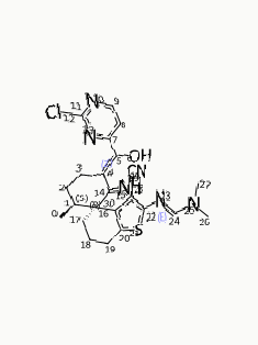 C[C@H]1CC/C(=C(/O)c2ccnc(Cl)n2)C(=N)[C@]12CCCc1sc(/N=C/N(C)C)c(C#N)c12